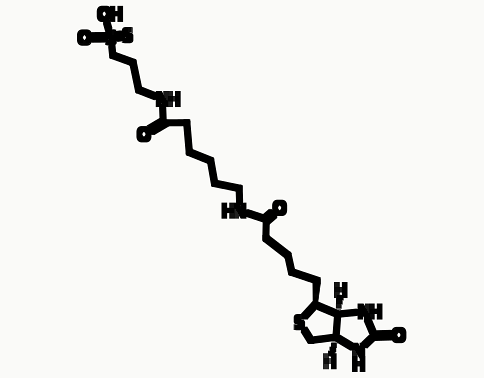 O=C(CCCC[C@@H]1SC[C@@H]2NC(=O)N[C@@H]21)NCCCCCC(=O)NCCCS(=O)(O)=S